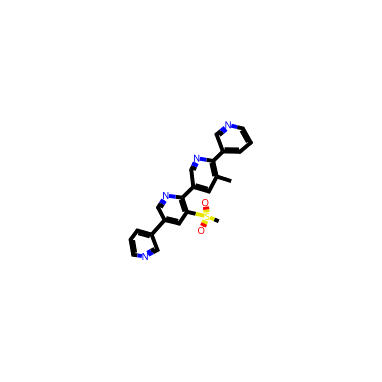 Cc1cc(-c2ncc(-c3cccnc3)cc2S(C)(=O)=O)cnc1-c1cccnc1